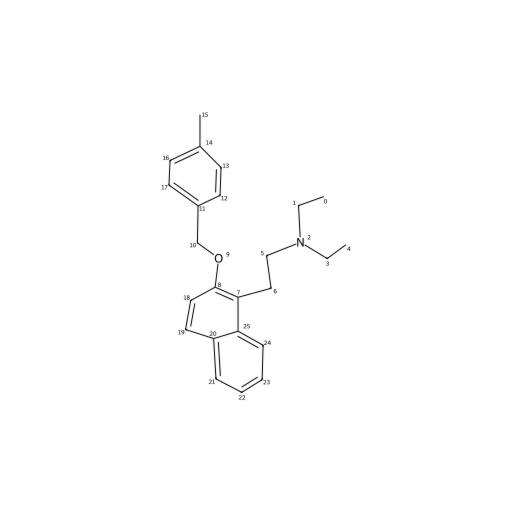 CCN(CC)CCc1c(OCc2ccc(C)cc2)ccc2ccccc12